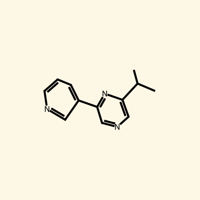 CC(C)c1cncc(-c2cccnc2)n1